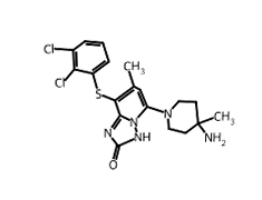 Cc1cc(N2CCC(C)(N)CC2)n2[nH]c(=O)nc2c1Sc1cccc(Cl)c1Cl